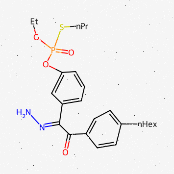 CCCCCCc1ccc(C(=O)/C(=N/N)c2cccc(OP(=O)(OCC)SCCC)c2)cc1